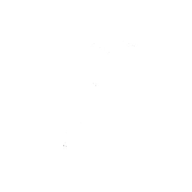 COc1ccc2c(ccn2S(=O)(=O)c2c(C)cccc2Cl)c1CN(C)C